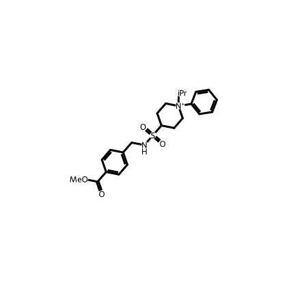 COC(=O)c1ccc(CNS(=O)(=O)C2CC[N+](c3ccccc3)(C(C)C)CC2)cc1